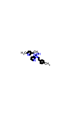 Cc1ccc(CCn2c(=N)n(C(C)c3ccc(C)nc3)c3cccnc32)cc1